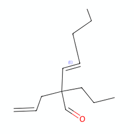 C=CCC(C=O)(/C=C/CCC)CCC